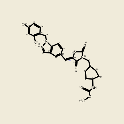 CC(C)(C)OC(=O)NC1CCC(CN2C(=O)S/C(=C\c3ccc4c(cnn4Cc4ccc(Cl)cc4C(F)(F)F)c3)C2=O)CC1